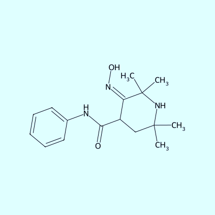 CC1(C)CC(C(=O)Nc2ccccc2)C(=NO)C(C)(C)N1